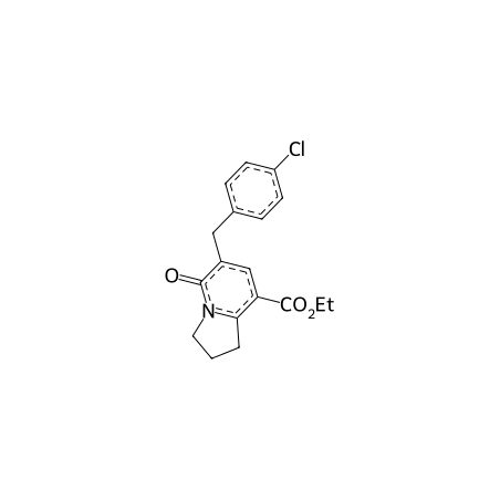 CCOC(=O)c1cc(Cc2ccc(Cl)cc2)c(=O)n2c1CCC2